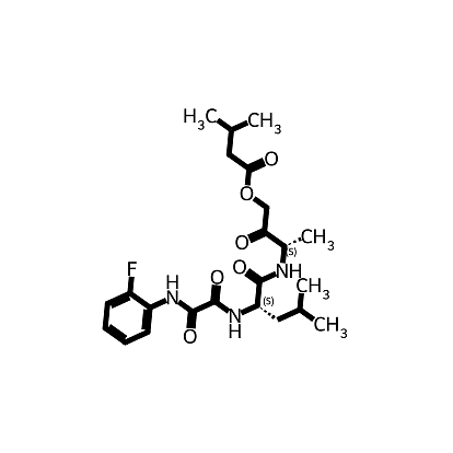 CC(C)CC(=O)OCC(=O)[C@H](C)NC(=O)[C@H](CC(C)C)NC(=O)C(=O)Nc1ccccc1F